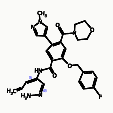 C=C/C=C(\C=N/N)NC(=O)c1cc(-c2cnn(C)c2)c(C(=O)N2CCOCC2)cc1OCc1ccc(F)cc1